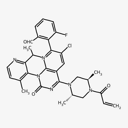 C=CC(=O)N1C[C@H](C)N(c2nc(=O)n3c4c2cc(Cl)c(-c2c(F)cccc2C=O)[n+]4C(C)c2nccc(C)c2-3)C[C@H]1C